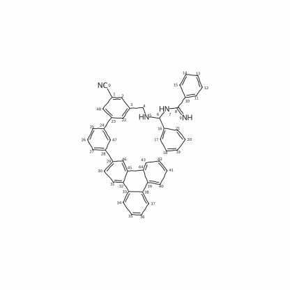 N#Cc1cc(CNC(NC(=N)c2ccccc2)c2ccccc2)cc(-c2cccc(-c3ccc4c5ccccc5c5ccccc5c4c3)c2)c1